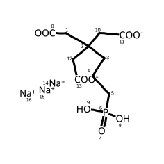 O=C([O-])CC(CCCP(=O)(O)O)(CC(=O)[O-])CC(=O)[O-].[Na+].[Na+].[Na+]